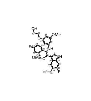 COc1cc(NC(C(=O)c2c[nH]c3cc(F)c(CF)cc23)c2ccc(F)cc2OC)cc(OCCO)c1